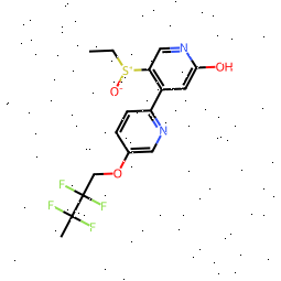 CC[S+]([O-])c1cnc(O)cc1-c1ccc(OCC(F)(F)C(C)(F)F)cn1